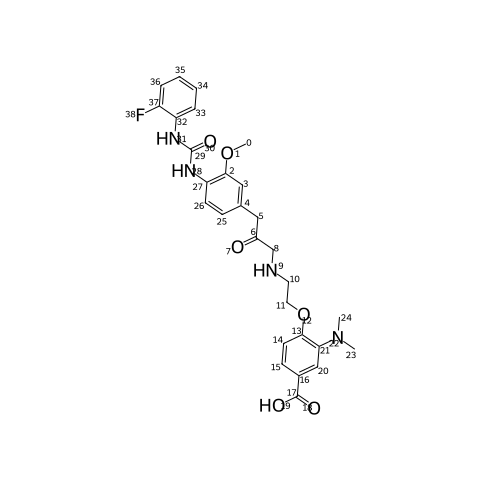 COc1cc(CC(=O)CNCCOc2ccc(C(=O)O)cc2N(C)C)ccc1NC(=O)Nc1ccccc1F